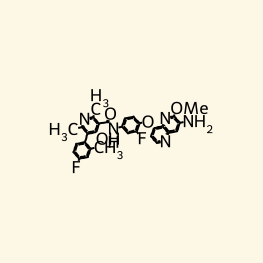 COc1nc2c(Oc3ccc(NC(=O)c4c(C)nc(C)c(-c5ccc(F)cc5C)c4O)cc3F)ccnc2cc1N